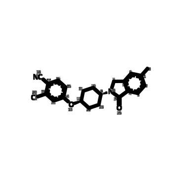 Cc1ccc2c(c1)CN([C@H]1CC[C@H](Oc3ccc(C#N)c(Cl)c3)CC1)C2=O